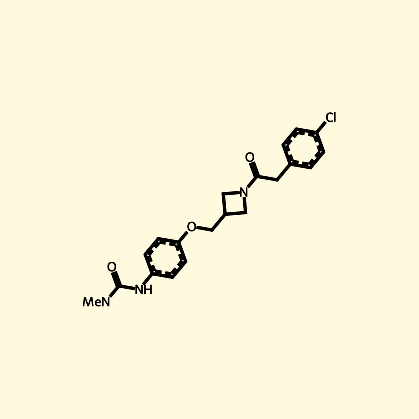 CNC(=O)Nc1ccc(OCC2CN(C(=O)Cc3ccc(Cl)cc3)C2)cc1